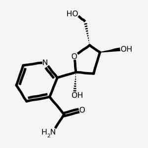 NC(=O)c1cccnc1[C@]1(O)C[C@H](O)[C@@H](CO)O1